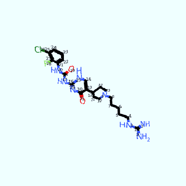 N=C(N)NCCCCCN1CCC(c2c[nH]c(NC(=O)Nc3cccc(Cl)c3F)nc2=O)CC1